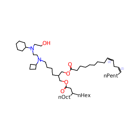 CCCCC/C=C\C/C=C\CCCCCCCC(=O)OCC(CCCCN(CCN(CCO)C1CCCCC1)C1CCC1)COC(=O)CC(CCCCCC)CCCCCCCC